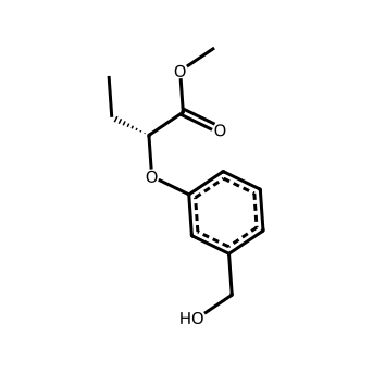 CC[C@@H](Oc1cccc(CO)c1)C(=O)OC